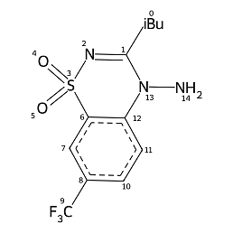 CCC(C)C1=NS(=O)(=O)c2cc(C(F)(F)F)ccc2N1N